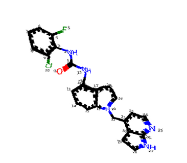 O=C(Nc1c(F)cccc1Cl)Nc1cccc2c1ccn2Cc1ccnc2[nH]ccc12